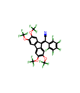 N#CC(=C1c2cc(OC(F)(F)F)c(OC(F)(F)F)cc2-c2cc(OC(F)(F)F)c(OC(F)(F)F)cc21)c1c(F)c(F)c(F)c(F)c1F